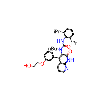 CCCCN(C(=O)Nc1c(C(C)C)cccc1C(C)C)c1c(-c2cccc(OCCO)c2)c2cccnc2[nH]c1=O